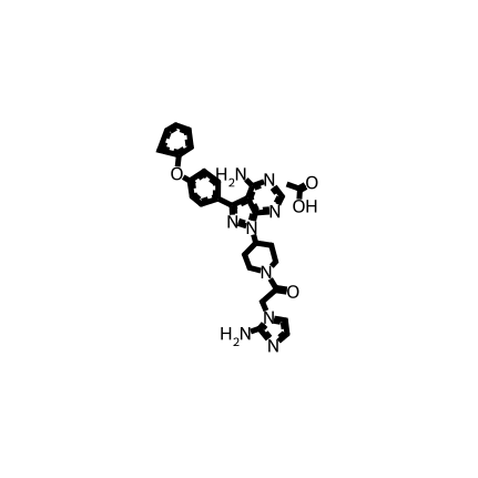 CC(=O)O.Nc1ncnc2c1c(-c1ccc(Oc3ccccc3)cc1)nn2C1CCN(C(=O)Cn2ccnc2N)CC1